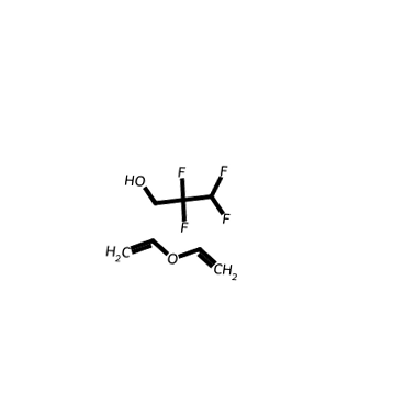 C=COC=C.OCC(F)(F)C(F)F